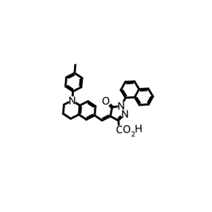 Cc1ccc(N2CCCc3cc(/C=C4\C(=O)N(c5cccc6ccccc56)N=C4C(=O)O)ccc32)cc1